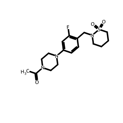 CC(=O)N1CCN(c2ccc(CN3CCCCS3(=O)=O)c(F)c2)CC1